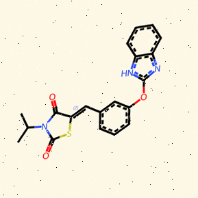 CC(C)N1C(=O)S/C(=C\c2cccc(Oc3nc4ccccc4[nH]3)c2)C1=O